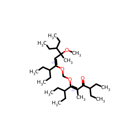 CCC(CC)C(=O)/C(C)=C(\OCO/C(=C\C(C)(OC)C(CC)CC)C(CC)CC)C(CC)CC